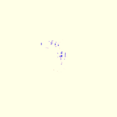 Cc1c(/C=C\N)n(-c2ccccc2)c2ccc(C3C=CC=C(/C(N)=C/C=C\Cc4c5ccccc5c(-c5ccccc5)c5ccccc45)N3)cc12